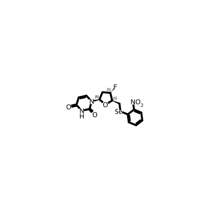 O=c1ccn([C@H]2C[C@H](F)[C@@H](C[Se]c3ccccc3[N+](=O)[O-])O2)c(=O)[nH]1